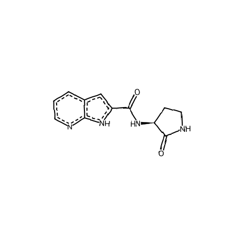 O=C(N[C@H]1CCNC1=O)c1cc2cccnc2[nH]1